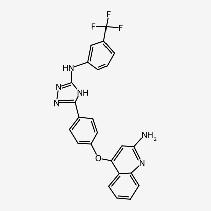 Nc1cc(Oc2ccc(-c3nnc(Nc4cccc(C(F)(F)F)c4)[nH]3)cc2)c2ccccc2n1